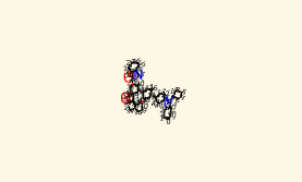 c1ccc(N(c2ccccc2)c2ccc(-c3ccc(-c4cc(-c5nc6ccccc6o5)cc5oc6ccc7ccccc7c6c45)cc3)cc2)cc1